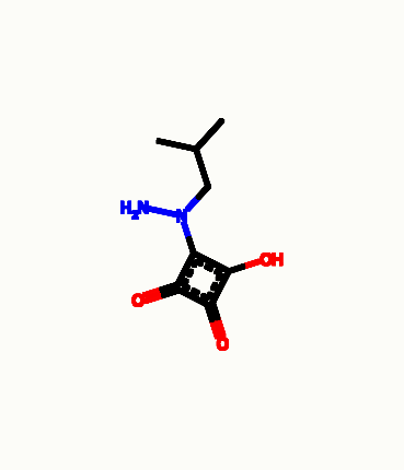 CC(C)CN(N)c1c(O)c(=O)c1=O